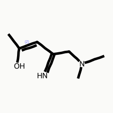 C/C(O)=C/C(=N)CN(C)C